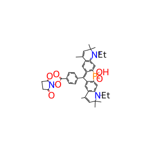 CCN1c2cc3c(cc2C(C)=CC1(C)C)C(c1ccc(C(=O)ON2C(=O)CCC2=O)cc1)=c1cc2c(cc1P3(=O)O)=[N+](CC)C(C)(C)C=C2C